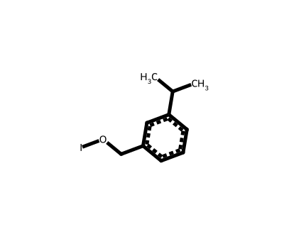 CC(C)c1cccc(COI)c1